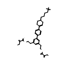 C=C(CO)C(=O)OCCc1cc(CCOC(=O)C(=C)CO)cc(-c2ccc(C3=CCC(CCCCC(F)(F)F)CC3)cc2)c1